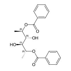 C[C@@H](OC(=O)c1ccccc1)[C@H](O)[C@H](O)[C@@H](C)OC(=O)c1ccccc1